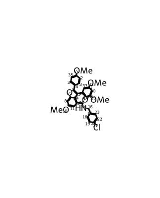 COc1ccc(-c2oc3cc(OC)cc(C(=O)NCc4ccc(Cl)cc4)c3c2-c2cc(OC)cc(OC)c2)cc1